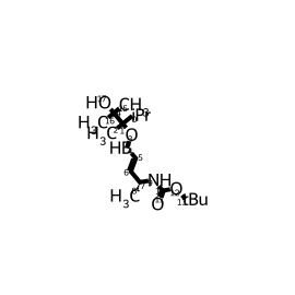 CC(C)C(C)(OB/C=C/[C@@H](C)NC(=O)OC(C)(C)C)C(C)(C)O